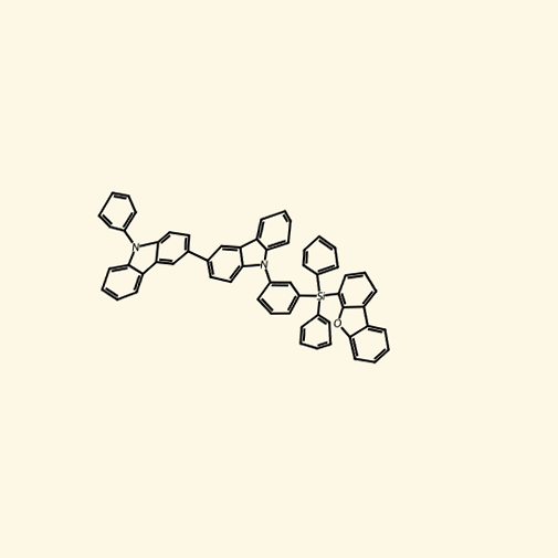 c1ccc(-n2c3ccccc3c3cc(-c4ccc5c(c4)c4ccccc4n5-c4cccc([Si](c5ccccc5)(c5ccccc5)c5cccc6c5oc5ccccc56)c4)ccc32)cc1